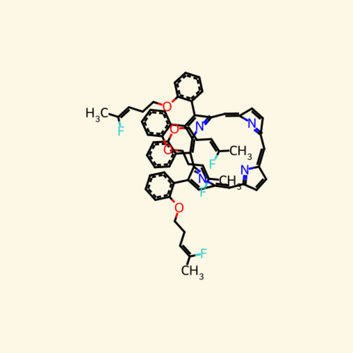 CC(F)=CCCOc1ccccc1C1=CC2=CC3=NC(=CC4=NC(=CC5=NC(=C(c6ccccc6OCCC=C(C)F)C1=N2)C(c1ccccc1OCCC=C(C)F)=C5c1ccccc1OCCC=C(C)F)C=C4)C=C3